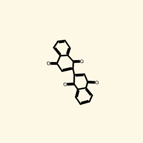 O=C1C=C(C2=CC(=O)c3ccccc3C2=O)C(=O)c2ccccc21